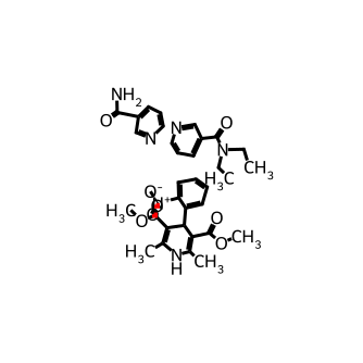 CCN(CC)C(=O)c1cccnc1.COC(=O)C1=C(C)NC(C)=C(C(=O)OC)C1c1ccccc1[N+](=O)[O-].NC(=O)c1cccnc1